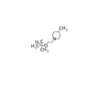 CC1CCN(CCOC(C)(C)C)CC1